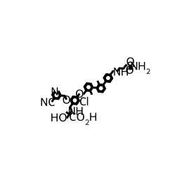 Cc1c(COc2cc(OCc3cncc(C#N)c3)c(CN[C@@](C)(CO)C(=O)O)cc2Cl)cccc1-c1cccc(-c2ccc(CNCCCS(N)(=O)=O)cc2)c1C